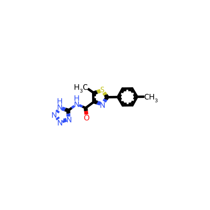 Cc1ccc(-c2nc(C(=O)Nc3nnn[nH]3)c(C)s2)cc1